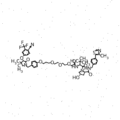 Cc1ncsc1-c1ccc(CNC(=O)C2CC(O)CN2C(=O)C(NC(=O)COCCOCCOCCCOc2ccc(CN3CC(C)(C)C(Oc4ccc(C#N)c(C(F)(F)F)c4)C3=O)cc2)C(C)(C)C)cc1